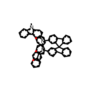 Cn1c2ccccc2c2cc(N(c3ccc(-c4ccccc4)cc3)c3ccc4c(c3)C3(c5ccccc5-c5ccc(N(c6ccccc6)c6ccccc6)cc53)c3ccccc3-4)ccc21